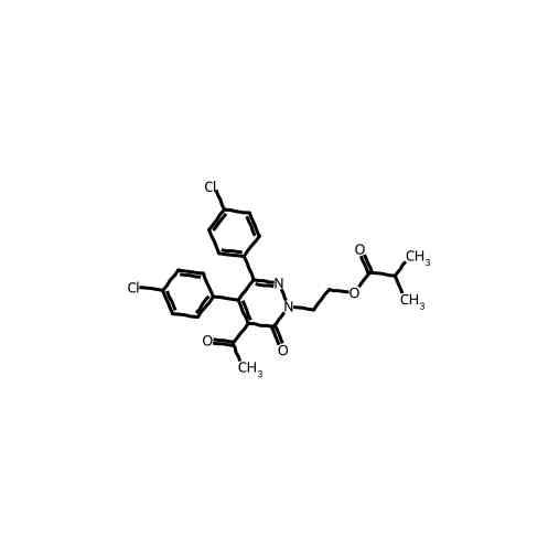 CC(=O)c1c(-c2ccc(Cl)cc2)c(-c2ccc(Cl)cc2)nn(CCOC(=O)C(C)C)c1=O